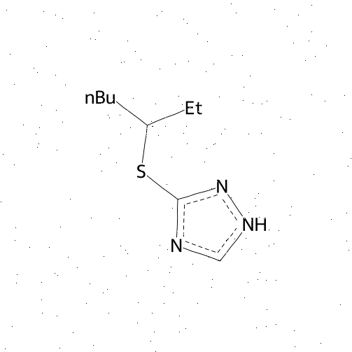 CCCCC(CC)Sc1nc[nH]n1